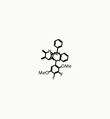 C=C1C(=C)N2C(N)C(=C)C1C(C(F)c1cc(OC)c(F)c(F)c1OC)C2C(c1ccccc1)c1ccccc1